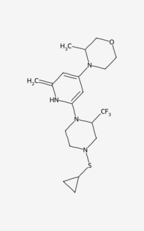 C=C1C=C(N2CCOCC2C)C=C(N2CCN(SC3CC3)CC2C(F)(F)F)N1